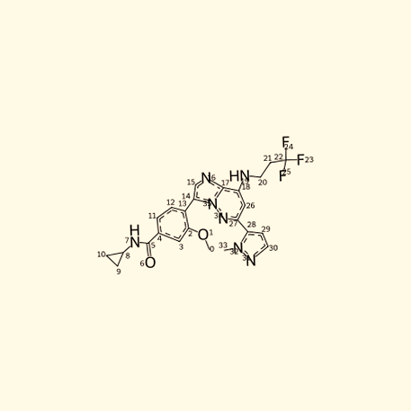 COc1cc(C(=O)NC2CC2)ccc1-c1cnc2c(NCCC(F)(F)F)cc(-c3ccnn3C)nn12